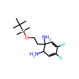 CC(C)(C)[Si](C)(C)OCCC1(N)C=C(F)C(F)=CC1N